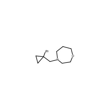 CC(C)C1(CN2CCCOCC2)CC1